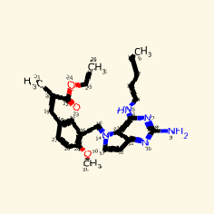 CCCCCNc1nc(N)nc2ccn(Cc3cc(CC(C)C(=O)OCC)ccc3OC)c12